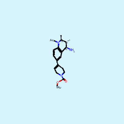 CC(=O)N1c2ccc(C3=CCN(C(=O)OC(C)(C)C)CC3)cc2[C@H](N)[C@@H](C)[C@@H]1C